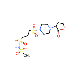 CS(=O)(=O)NS(=O)(=O)CCCS(=O)(=O)N1CCN(C2CCOC2=O)CC1